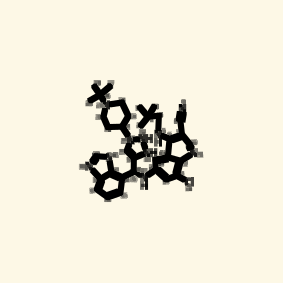 CC(C)(C)CNc1c(C#N)cnc2c(Cl)cc(N[C@H](C3=CN(C4CCN(C(C)(C)C)CC4)NN3)c3cccc4ncsc34)cc12